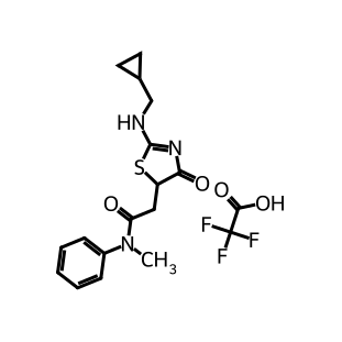 CN(C(=O)CC1SC(NCC2CC2)=NC1=O)c1ccccc1.O=C(O)C(F)(F)F